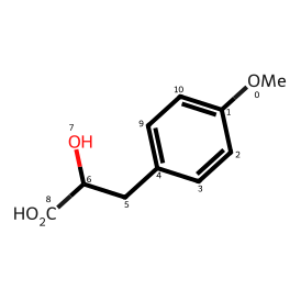 COc1ccc(CC(O)C(=O)O)cc1